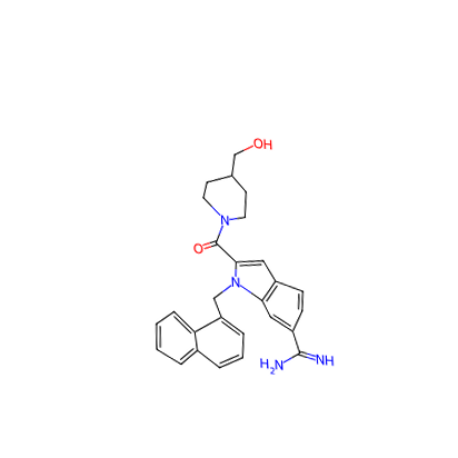 N=C(N)c1ccc2cc(C(=O)N3CCC(CO)CC3)n(Cc3cccc4ccccc34)c2c1